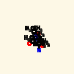 CC1CC(C)(C)CC[C@@]1(CC[C@]1(C)CC(=O)C[C@@H]2[C@@]3(C)C=C(C#N)C(=O)C(C)(C)[C@@H]3CC[C@]21C)NC(=O)C1CC1